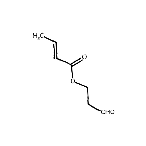 CC=CC(=O)OCCC=O